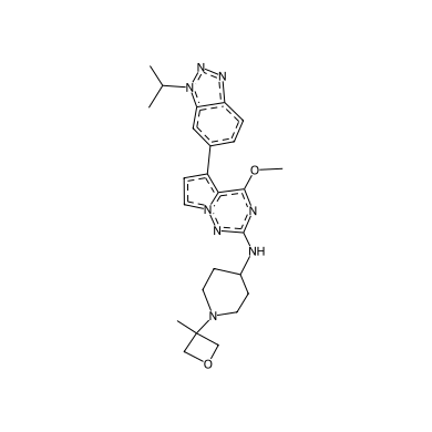 COc1nc(NC2CCN(C3(C)COC3)CC2)nn2ccc(-c3ccc4nnn(C(C)C)c4c3)c12